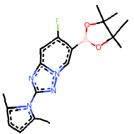 Cc1ccc(C)n1-c1nc2cc(F)c(B3OC(C)(C)C(C)(C)O3)cn2n1